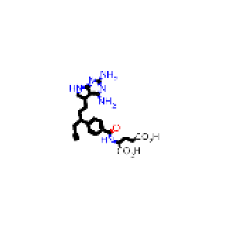 C#CCC(CCC1CNc2nc(N)nc(N)c21)c1ccc(C(=O)N[C@@H](CCC(=O)O)C(=O)O)cc1